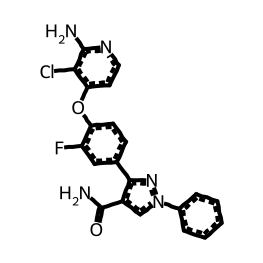 NC(=O)c1cn(-c2ccccc2)nc1-c1ccc(Oc2ccnc(N)c2Cl)c(F)c1